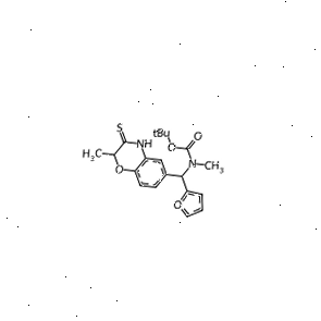 CC1Oc2ccc(C(c3ccco3)N(C)C(=O)OC(C)(C)C)cc2NC1=S